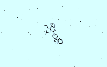 CCC[C@H](C(N)=O)[C@@H](CC(C)C)C(=O)N1CCC(C(C)=O)(c2ccccc2)CC1